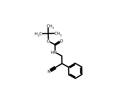 CC(C)(C)OC(=O)NCC(C#N)c1ccccc1